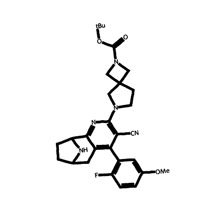 COc1ccc(F)c(-c2c(C#N)c(N3CCC4(CN(C(=O)OC(C)(C)C)C4)C3)nc3c2CC2CCC3N2)c1